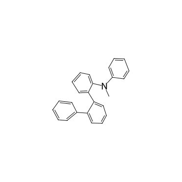 CN(c1ccccc1)c1ccccc1-c1ccccc1-c1ccccc1